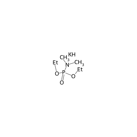 CCOP(=O)(OCC)N(C)C.[KH]